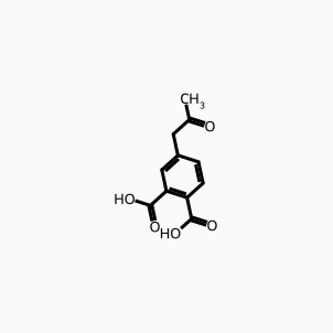 CC(=O)Cc1ccc(C(=O)O)c(C(=O)O)c1